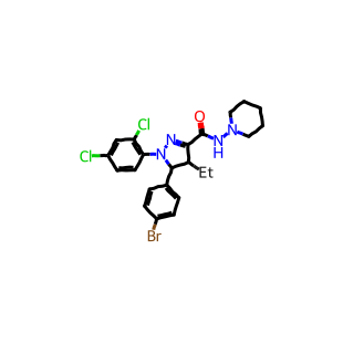 CCC1C(C(=O)NN2CCCCC2)=NN(c2ccc(Cl)cc2Cl)C1c1ccc(Br)cc1